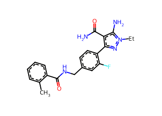 CCn1nc(-c2ccc(CNC(=O)c3ccccc3C)cc2F)c(C(N)=O)c1N